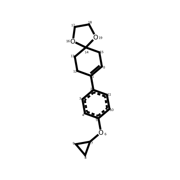 C1=C(c2ccc(OC3CC3)cc2)CCC2(C1)OCCO2